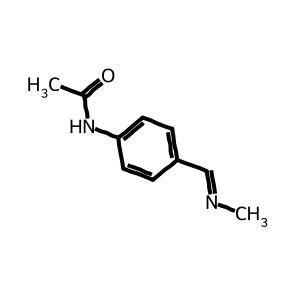 CN=Cc1ccc(NC(C)=O)cc1